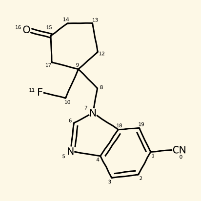 N#Cc1ccc2ncn(CC3(CF)CCCC(=O)C3)c2c1